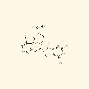 CCC(=O)N1CCN(C(=O)N(C)C(C)c2cc(CC)cc(C(F)(F)F)c2)[C@@H](c2ccccc2CC)C1